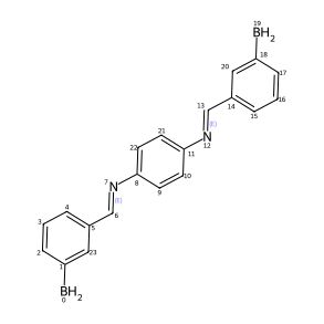 Bc1cccc(/C=N/c2ccc(/N=C/c3cccc(B)c3)cc2)c1